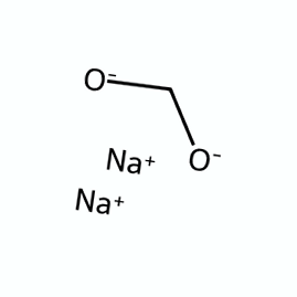 [Na+].[Na+].[O-]C[O-]